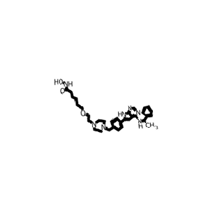 C[C@@H](Nc1ncnc2[nH]c(-c3ccc(CN4CCN(CCOCCCCCC(=O)NO)CC4)cc3)cc12)c1ccccc1